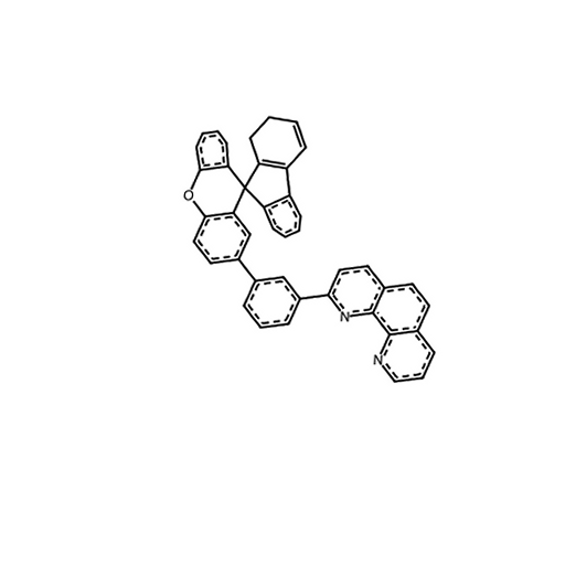 C1=CC2=C(CC1)C1(c3ccccc3Oc3ccc(-c4cccc(-c5ccc6ccc7cccnc7c6n5)c4)cc31)c1ccccc12